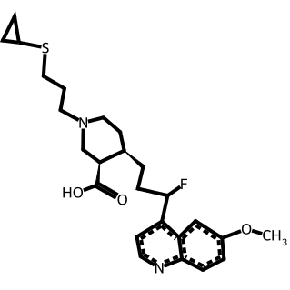 COc1ccc2nccc(C(F)CC[C@@H]3CCN(CCCSC4CC4)C[C@@H]3C(=O)O)c2c1